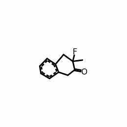 CC1(F)Cc2ccccc2CC1=O